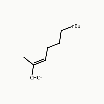 CCCCCCC/C=C(\C)[C]=O